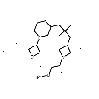 CC(C)OCCN1CC(CC(C)(C)CC2CCCN(C3COC3)C2)C1